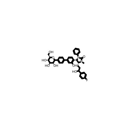 CN1C(=O)N(c2ccccc2)[C@H](c2ccc(-c3ccc(C4O[C@H](CO)[C@@H](O)[C@H](O)[C@H]4O)cc3)cc2O)[C@H]1CCC(O)c1ccc(F)cc1